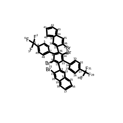 FC(F)(F)c1ccc(-c2c(Br)c(-c3cc4ccccc4cc3Br)c(-c3ccc(C(F)(F)F)cc3)c(Br)c2-c2cc3ccccc3cc2Br)cc1